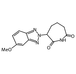 COc1ccc2nn(C3CCCC(=O)NC3=O)nc2c1